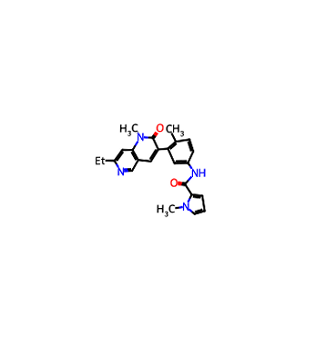 CCc1cc2c(cn1)cc(-c1cc(NC(=O)c3cccn3C)ccc1C)c(=O)n2C